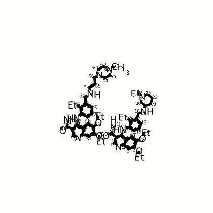 CCOc1cc2ncc(C(N)=O)c(Nc3cccc(CNC4CCCN(CC)C4)c3CC)c2cc1OCC.CCOc1cc2ncc(C(N)=O)c(Nc3cccc(CNCCCN4CCN(C)CC4)c3CC)c2cc1OCC